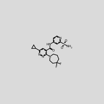 NS(=O)(=O)c1cc(NC(=O)c2cc(C3CC3)nnc2N2CCCC(F)(F)CC2)ccn1